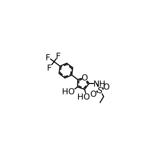 CCS(=O)(=O)Nc1oc(-c2ccc(C(F)(F)F)cc2)c(O)c1O